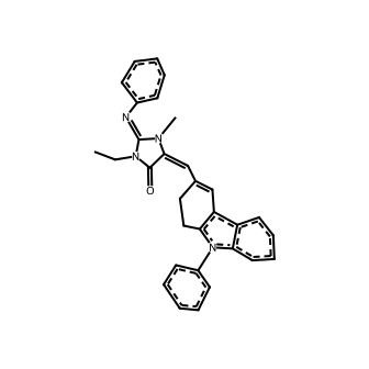 CCN1C(=O)/C(=C\C2=Cc3c(n(-c4ccccc4)c4ccccc34)CC2)N(C)C1=Nc1ccccc1